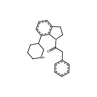 O=C(Cc1ccccc1)N1CCc2cccc(C3[CH]CCNC3)c21